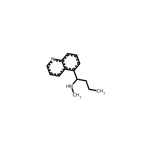 CCCC(NC)c1cccc2ncccc12